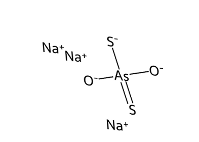 [Na+].[Na+].[Na+].[O-][As]([O-])(=S)[S-]